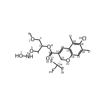 COCC(CONO)OC(=O)C1=Cc2c(cc(C)c(Cl)c2C)O[C@@H]1C(F)(F)F